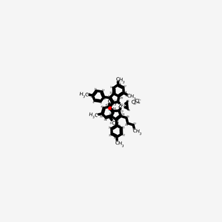 CCCCC1=C(c2ccc(C)cc2)c2cc(C)cc(C)c2[CH]1[Zr+2]1([CH]2C(CCCC)=C(c3ccc(C)cc3)c3cc(C)cc(C)c32)[CH2][CH2]1.[Cl-].[Cl-]